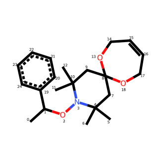 CC(ON1C(C)(C)CC2(CC1(C)C)OCC=CCO2)c1ccccc1